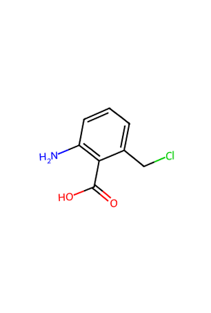 Nc1cccc(CCl)c1C(=O)O